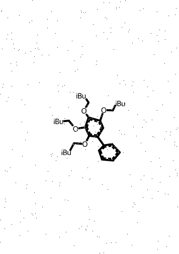 CCC(C)COc1cc(-c2ccccc2)c(OCC(C)CC)c(OCC(C)CC)c1OCC(C)CC